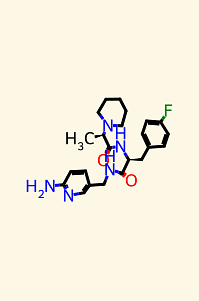 C[C@H](C(=O)N[C@@H](Cc1ccc(F)cc1)C(=O)NCc1ccc(N)nc1)N1CCCCC1